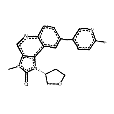 Cn1c(=O)n([C@@H]2CCOC2)c2c3cc(-c4ccc(F)nc4)ccc3ncc21